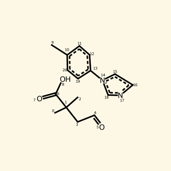 CC(C)(CC=O)C(=O)O.Cc1ccc(-n2ccnc2)cc1